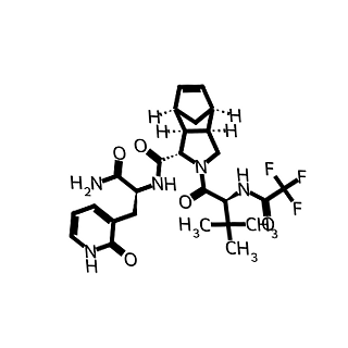 CC(C)(C)[C@H](NC(=O)C(F)(F)F)C(=O)N1C[C@H]2[C@@H]([C@H]1C(=O)N[C@@H](Cc1ccc[nH]c1=O)C(N)=O)[C@H]1C=C[C@@H]2C1